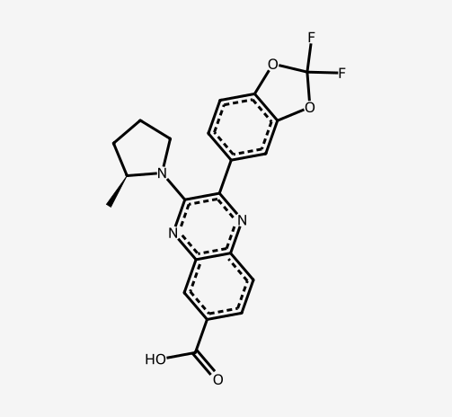 C[C@H]1CCCN1c1nc2cc(C(=O)O)ccc2nc1-c1ccc2c(c1)OC(F)(F)O2